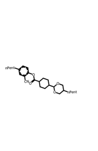 CCCCCc1ccc(OC(=O)C2CCC(C3OCC(CCCCC)CO3)CC2)c(C#N)c1